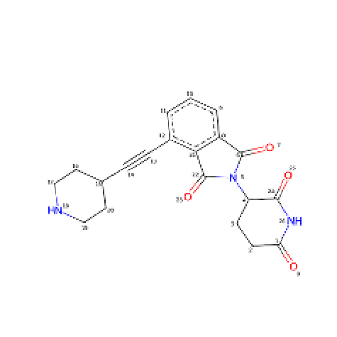 O=C1CCC(N2C(=O)c3cccc(C#CC4CCNCC4)c3C2=O)C(=O)N1